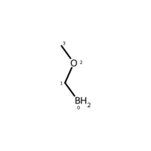 BCOC